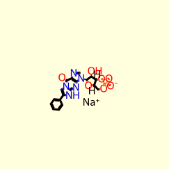 O=c1c2ncn([C@@H]3O[C@@H]4COP(=O)([O-])O[C@H]4[C@H]3O)c2nc2[nH]c(-c3ccccc3)cn12.[Na+]